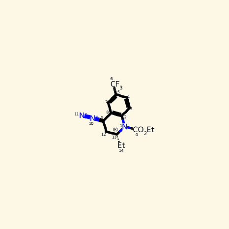 CCOC(=O)N1c2ccc(C(F)(F)F)cc2C(=[N+]=[N-])C[C@H]1CC